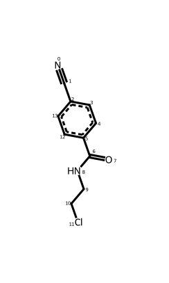 N#Cc1ccc(C(=O)NCCCl)cc1